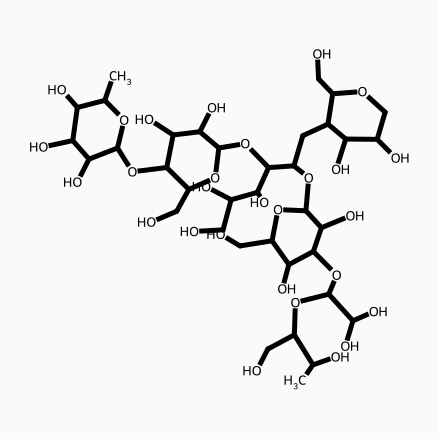 CC(O)C(CO)OC(OC1C(O)C(CO)OC(OC(CC2C(CO)OCC(O)C2O)C(OC2OC(CO)C(OC3OC(C)C(O)C(O)C3O)C(O)C2O)C(O)C(O)CO)C1O)C(O)O